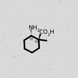 C[C@]1(C(=O)O)CCCC[C@@H]1N